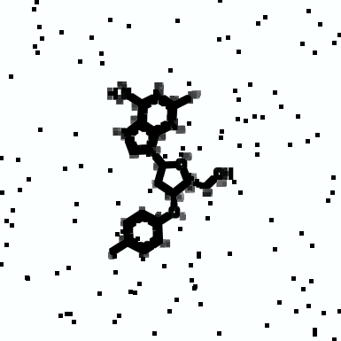 Cc1ccc(O[C@H]2CC(n3cnc4c(N)nc(I)nc43)O[C@@H]2CO)cc1